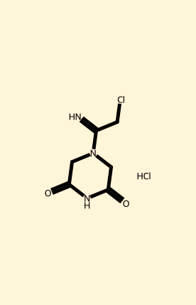 Cl.N=C(CCl)N1CC(=O)NC(=O)C1